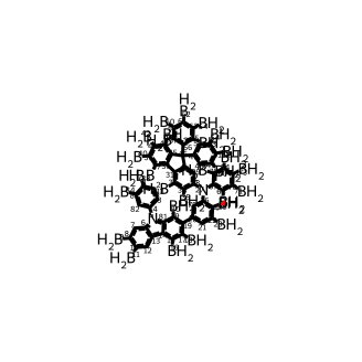 Bc1ccc(-n2c3cc(B)c(B)cc3c3c(B)c(B)c(-c4cc(B)c(B)c(N(c5cc6c(c(B)c5B)-c5c(B)c(B)c(B)c(B)c5C6(c5cc(B)c(B)c(B)c5)c5c(B)c(B)c(B)c(B)c5B)c5c(B)c(B)c(B)c(B)c5B)c4)c(B)c32)cc1B